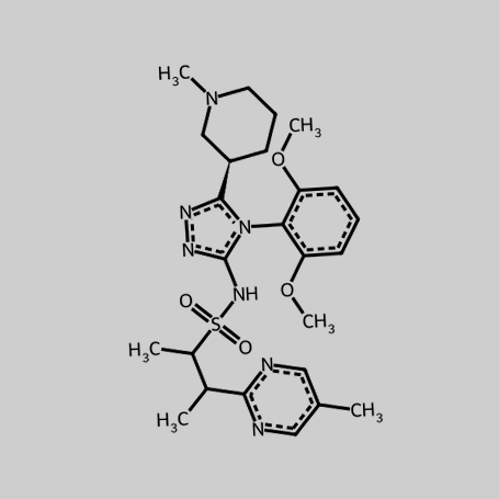 COc1cccc(OC)c1-n1c(NS(=O)(=O)C(C)C(C)c2ncc(C)cn2)nnc1[C@@H]1CCCN(C)C1